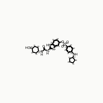 O=C(Nc1nc2cc(OS(=O)(=O)c3ccc(NC4CCCC4)cc3)ccc2[nH]1)N[C@H]1CC[C@H](O)CC1